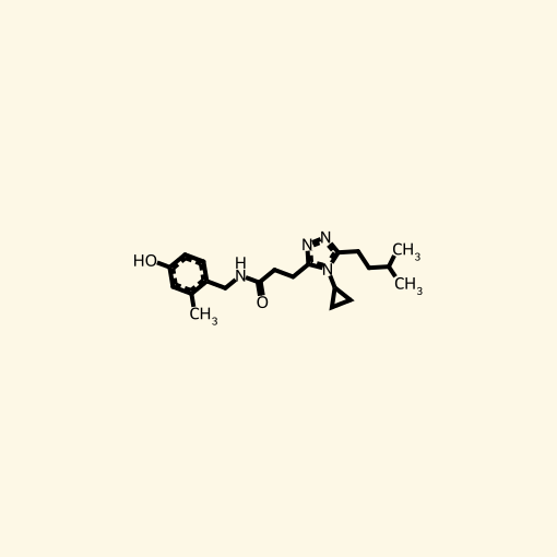 Cc1cc(O)ccc1CNC(=O)CCc1nnc(CCC(C)C)n1C1CC1